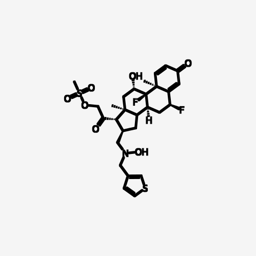 C[C@]12C[C@H](O)[C@@]3(F)[C@@H](C[C@H](F)C4=CC(=O)C=C[C@@]43C)C1C[C@@H](CN(O)Cc1ccsc1)[C@@H]2C(=O)COS(C)(=O)=O